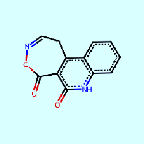 O=C1ON=CCc2c1c(=O)[nH]c1ccccc21